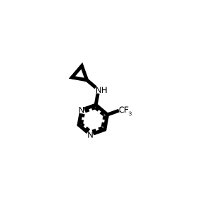 FC(F)(F)c1cncnc1NC1CC1